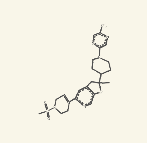 CC1(C2CCN(c3cnc(C(F)(F)F)cn3)CC2)Cc2cc(C3=CCN(S(C)(=O)=O)CC3)ncc2O1